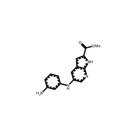 Bc1cccc(Nc2cnc3[nH]c(C(=O)OC)cc3c2)c1